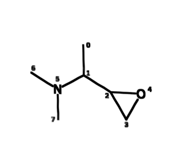 CC(C1CO1)N(C)C